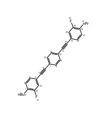 CCCCc1ccc(C#Cc2ccc(C#Cc3ccc(CCC)c(F)c3)cc2)cc1F